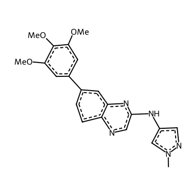 COc1cc(-c2ccc3ncc(Nc4cnn(C)c4)nc3c2)cc(OC)c1OC